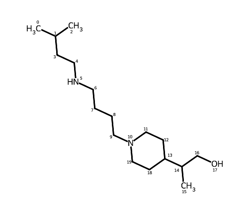 CC(C)CCNCCCCN1CCC(C(C)CO)CC1